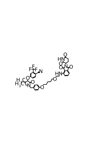 CC1(C)CN(Cc2ccc(OCCCCCOCCNc3cccc4c3C(=O)N(C3CCC(=O)NC3=O)C4=O)cc2)C(=O)C1Oc1ccc(C#N)c(C(F)(F)F)c1